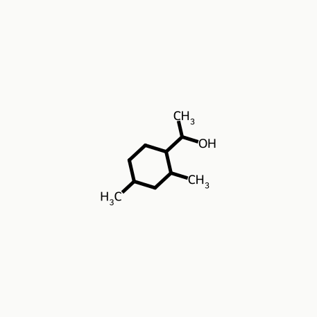 CC1CCC(C(C)O)C(C)C1